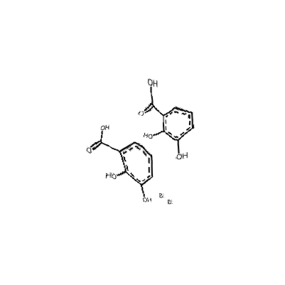 O=C(O)c1cccc(O)c1O.O=C(O)c1cccc(O)c1O.[B].[B]